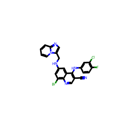 N#Cc1cnc2c(Br)cc(NCc3cnc4ccccn34)cc2c1Nc1ccc(F)c(Cl)c1